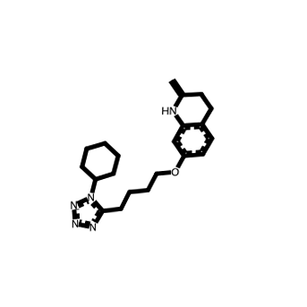 C=C1CCc2ccc(OCCCCc3nnnn3C3CCCCC3)cc2N1